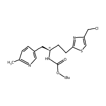 Cc1ccc(C[C@@H](CCc2nc(CCl)cs2)NC(=O)OC(C)(C)C)cn1